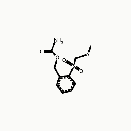 CSCS(=O)(=O)c1ccccc1COC(N)=O